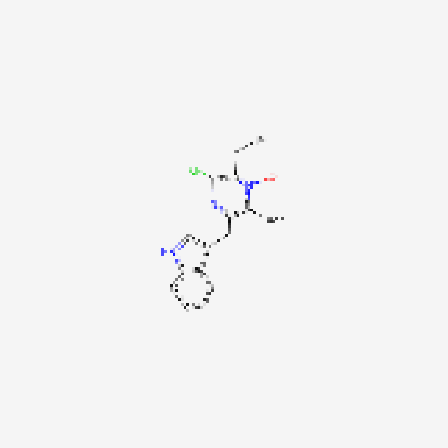 COc1c(Cc2c[nH]c3ccccc23)nc(Cl)c(CC(C)C)[n+]1[O-]